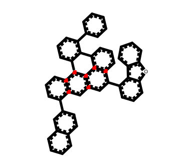 c1ccc(-c2ccccc2-c2c(-c3ccccc3)cccc2N(c2ccc(-c3cccc4oc5ccccc5c34)cc2)c2cccc(-c3ccc4ccccc4c3)c2)cc1